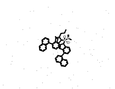 CCCC1=Cc2c(-c3cccc4ccccc34)cccc2[CH]1[Zr]([Cl])([Cl])([CH]1C(CCC)=Cc2c(-c3cccc4ccccc34)cccc21)[SiH](C)C